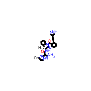 CC(C)c1ccn2nc(N)c(C(=O)N[C@@H](C)c3nc4cccc(C#Cc5cn[nH]c5)c4c(=O)n3-c3ccccc3)c2n1